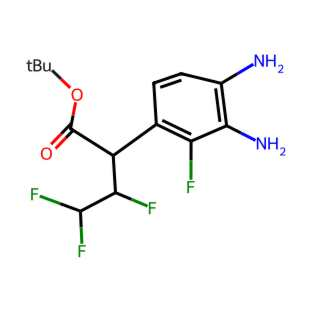 CC(C)(C)OC(=O)C(c1ccc(N)c(N)c1F)C(F)C(F)F